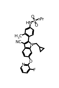 CCCS(=O)(=O)Nc1ccc(-c2c(C#N)c3ccc(Oc4ncccc4F)cc3n2CC2CC2)c(C)c1